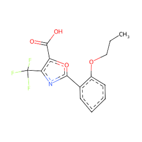 CCCOc1ccccc1-c1nc(C(F)(F)F)c(C(=O)O)o1